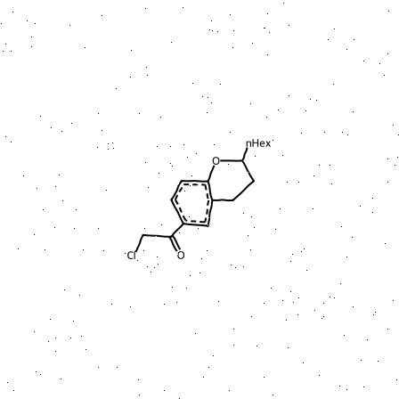 CCCCCCC1CCc2cc(C(=O)CCl)ccc2O1